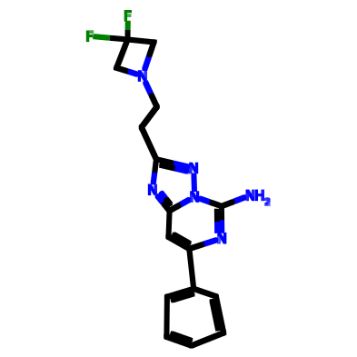 Nc1nc(-c2ccccc2)cc2nc(CCN3CC(F)(F)C3)nn12